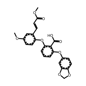 COC(=O)C=Cc1cc(OC)ccc1Oc1cccc(Oc2ccc3c(c2)OCO3)c1C(=O)O